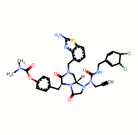 C#CCN(C(=O)NCC1=CC(Cl)C(Cl)C=C1)N1CC(=O)N2[C@@H](Cc3ccc(OC(=O)N(C)C)cc3)C(=O)N(Cc3cccc4sc(N)nc34)C[C@@H]21